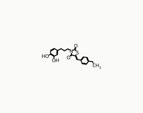 CCc1ccc(/C=C2\SC(=O)N(CCCc3ccc(O)c(O)c3)C2=O)cc1